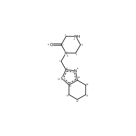 O=C1CNCCN1Cc1nc2c(s1)CCCC2